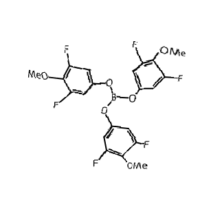 COc1c(F)cc(OB(Oc2cc(F)c(OC)c(F)c2)Oc2cc(F)c(OC)c(F)c2)cc1F